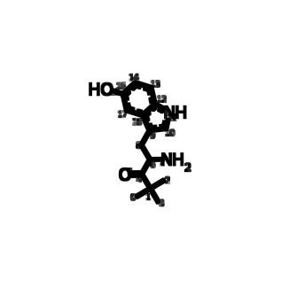 CC(C)(C)C(=O)C(N)Cc1c[nH]c2ccc(O)cc12